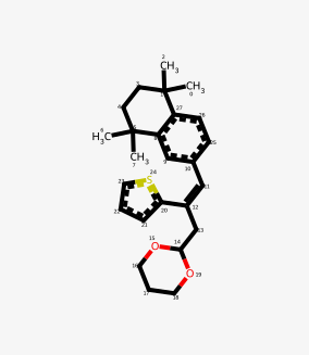 CC1(C)CCC(C)(C)c2cc(C=C(CC3OCCCO3)c3cccs3)ccc21